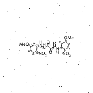 COc1ccc([N+](=O)[O-])c(NNC(=O)C(=O)NNc2cc(OC)ccc2[N+](=O)[O-])c1